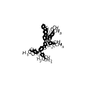 CC(C)(C)c1ccc(Nc2cc3sc4cc(N(c5ccc(C(C)(C)C)cc5)c5ccc(C(C)(C)C)cc5)ccc4c3cc2-c2ccc3c4cc5c(cc4n4c3c2Bc2oc3ccc(C(C)(C)C)cc3c2-4)sc2ccccc25)cc1